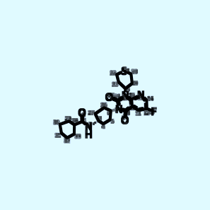 O=C(N[C@H]1CC[C@@H](n2c(=O)c3cc(F)cnc3n(C3CCSCC3)c2=O)CC1)C1CCCCC1